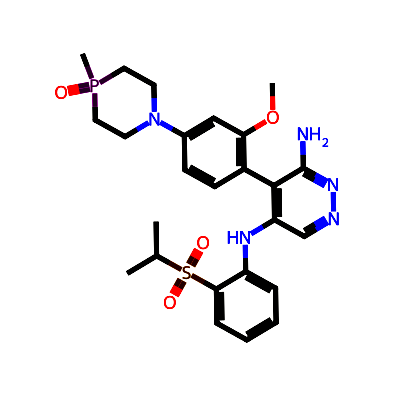 COc1cc(N2CCP(C)(=O)CC2)ccc1-c1c(Nc2ccccc2S(=O)(=O)C(C)C)cnnc1N